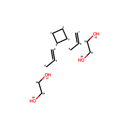 C1CCC1.C=CC.C=CC.OCCO.OCCO